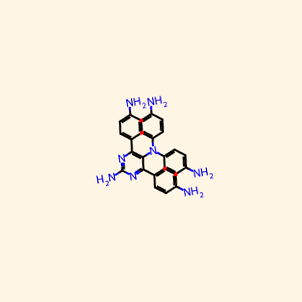 Nc1ccc(-c2nc(N)nc(-c3ccc(N)cc3)c2N(c2ccc(N)cc2)c2ccc(N)cc2)cc1